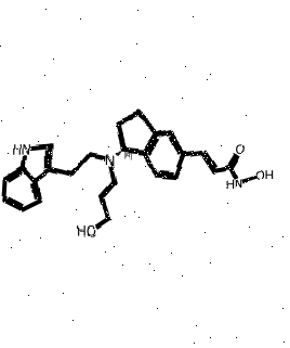 O=C(C=Cc1ccc2c(c1)CC[C@H]2N(CCCO)CCc1c[nH]c2ccccc12)NO